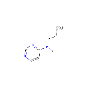 CN(CCC(=O)O)c1ccn[c]n1